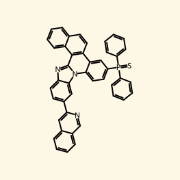 S=P(c1ccccc1)(c1ccccc1)c1ccc2c(c1)c1ccc3ccccc3c1c1nc3ccc(-c4cc5ccccc5cn4)cc3n21